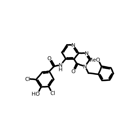 COc1ccccc1Cn1cnc2nccc(NC(=O)c3cc(Cl)c(O)c(Cl)c3)c2c1=O